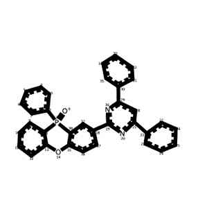 O=P1(c2ccccc2)c2ccccc2Oc2ccc(-c3nc(-c4ccccc4)cc(-c4ccccc4)n3)cc21